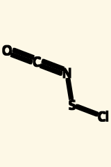 O=C=NSCl